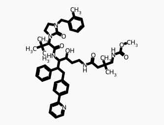 COC(=O)NCC(C)(C)CC(=O)NCCC(O)C(NC(=O)C(N1CCN(Cc2ccccc2C)C1=O)C(C)(C)C)C(Cc1ccc(-c2ccccn2)cc1)c1ccccc1